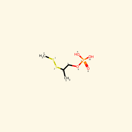 CSSC(C)COP(=O)(O)O